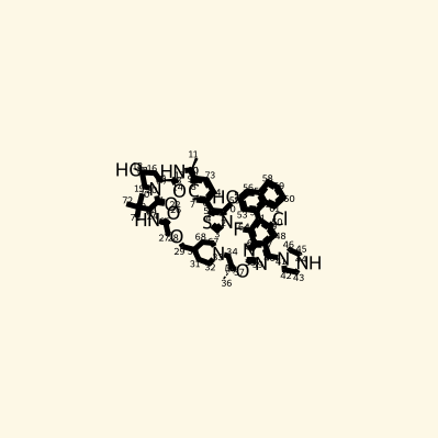 Cc1ncsc1-c1ccc([C@H](C)NC(=O)[C@@H]2C[C@@H](O)CN2C(=O)[C@@H](NC(=O)COCC2CCN(C[C@@H](C)Oc3nc(N4CCNCC4)c4cc(Cl)c(-c5cc(O)cc6ccccc56)c(F)c4n3)CC2)C(C)(C)C)cc1